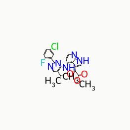 COC(=O)C(=O)c1c[nH]c2nccc(Nc3nc(-c4cc(Cl)ccc4F)ncc3C(C)C)c12